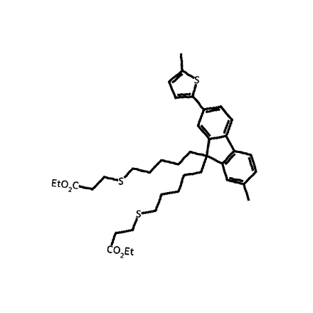 CCOC(=O)CCSCCCCCC1(CCCCCSCCC(=O)OCC)c2cc(C)ccc2-c2ccc(-c3ccc(C)s3)cc21